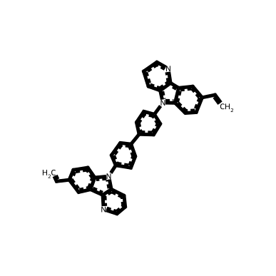 C=Cc1ccc2c(c1)c1ncccc1n2-c1ccc(-c2ccc(-n3c4ccc(C=C)cc4c4ncccc43)cc2)cc1